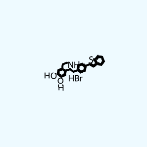 Br.Oc1cc2c(cc1O)C(Cc1ccc(-c3cc4ccccc4s3)cc1)NCC2